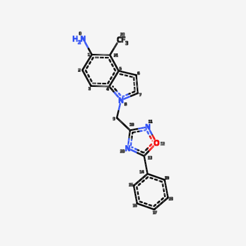 Nc1ccc2c(ccn2Cc2noc(-c3ccccc3)n2)c1C(F)(F)F